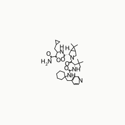 CC(C)(C)[C@H](NC(=O)NC1(Cc2ccncc2)CCCCC1)C(=O)N1CC2[C@@H]([C@H]1C(=O)NC(CC1CC1)C(=O)C(N)=O)C2(C)C